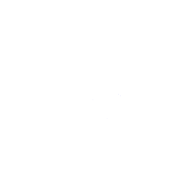 COc1ccc(Nc2nc3cc4c(C)c(C(=O)O)c(=O)oc4cc3n2Cc2cccc(F)c2)cc1